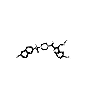 Nc1ccc2sc(C(=O)N3CCN(S(=O)(=O)c4ccc5cc(Cl)ccc5c4)CC3)c(C=NO)c2c1